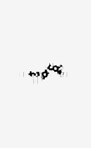 COc1cc2nccc(Oc3c(F)cc(NC(=O)NCC(C)(C)O)c(Cl)c3F)c2cc1C(N)=O